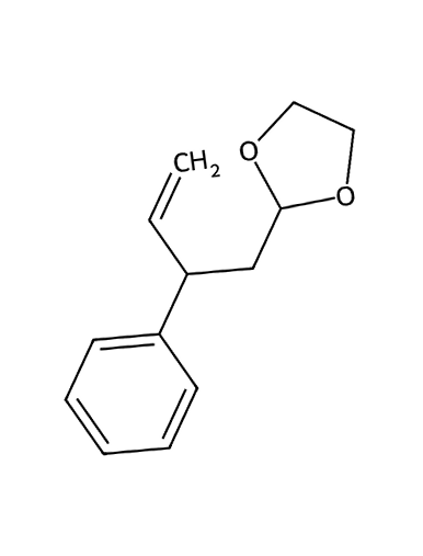 C=CC(CC1OCCO1)c1ccccc1